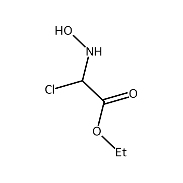 CCOC(=O)C(Cl)NO